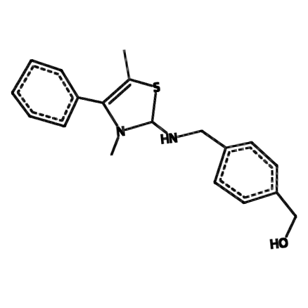 CC1=C(c2ccccc2)N(C)C(NCc2ccc(CO)cc2)S1